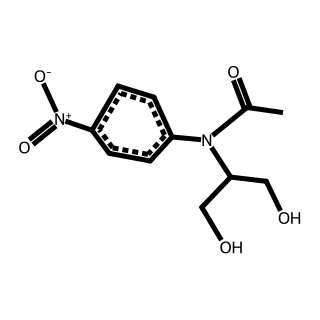 CC(=O)N(c1ccc([N+](=O)[O-])cc1)C(CO)CO